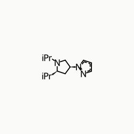 CC(C)[C@@H]1C[C@H](n2cccn2)CN1C(C)C